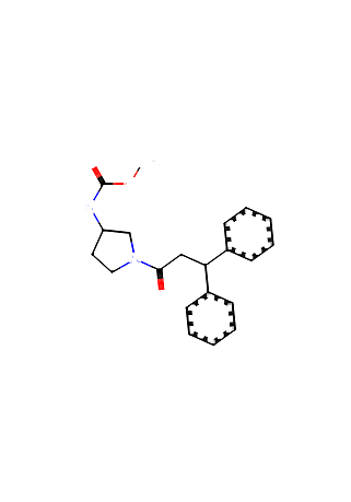 CC(C)(C)OC(=O)NC1CCN(C(=O)CC(c2ccccc2)c2ccccc2)C1